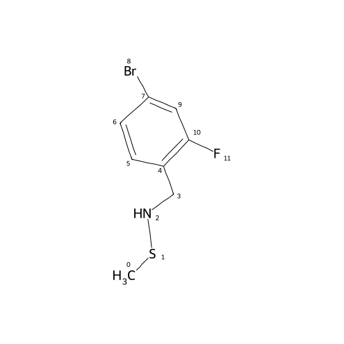 CSNCc1ccc(Br)cc1F